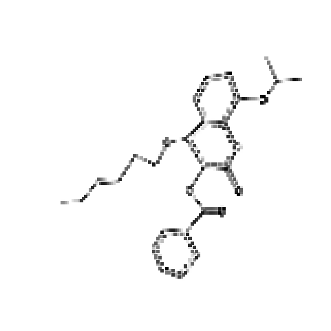 CCC=CCCOc1c(OC(=O)c2ccccc2)c(=O)oc2c(OC(C)C)cccc12